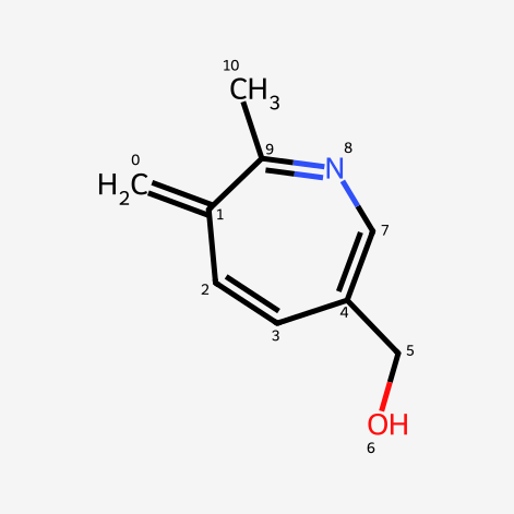 C=C1C=CC(CO)=CN=C1C